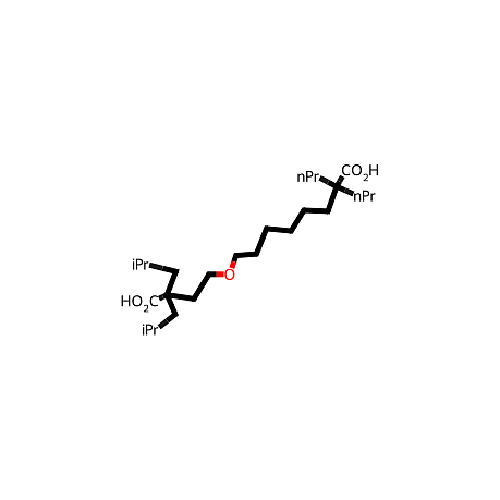 CCCC(CCC)(CCCCCCOCCC(CC(C)C)(CC(C)C)C(=O)O)C(=O)O